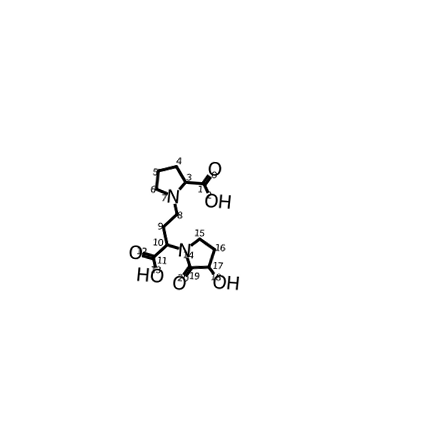 O=C(O)C1CCCN1CCC(C(=O)O)N1CCC(O)C1=O